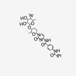 CC(C)C(=O)Nc1ccc(C(=O)Nc2ccn(C3CCC(OC4OC(C)C(N(C)C)C(O)C4O)C(C)O3)c(=O)n2)cc1